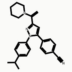 C=C(c1cc(-c2ccc(C#N)cc2)n(-c2ccc(C(C)C)cc2)n1)N1CCCCC1